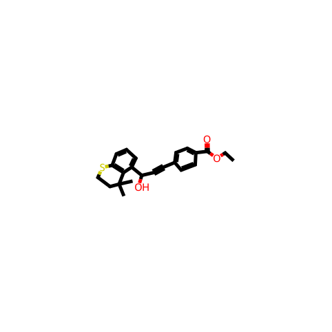 CCOC(=O)c1ccc(C#CC(O)c2cccc3c2C(C)(C)CCS3)cc1